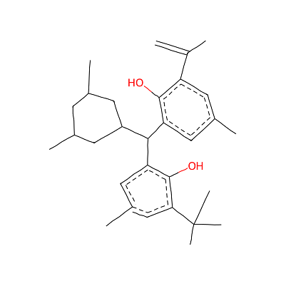 C=C(C)c1cc(C)cc(C(c2cc(C)cc(C(C)(C)C)c2O)C2CC(C)CC(C)C2)c1O